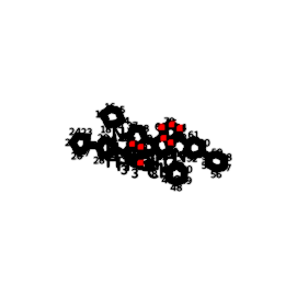 C[Si](C)(C)C1([Si](C)(C)C)c2cc(N(c3ccccc3)c3cc(-c4ccccc4)ccc3-c3ccccc3)ccc2-c2c1cc(N(c1ccccc1)c1cc(-c3ccccc3)ccc1-c1ccccc1)c1ccccc21